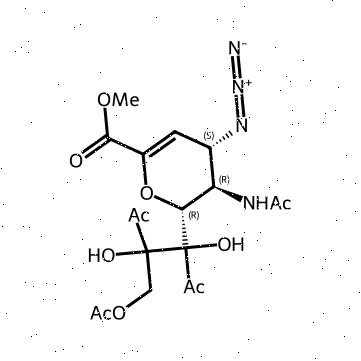 COC(=O)C1=C[C@H](N=[N+]=[N-])[C@@H](NC(C)=O)[C@H](C(O)(C(C)=O)C(O)(COC(C)=O)C(C)=O)O1